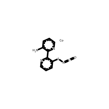 Nc1cccnc1-c1ncccc1SN=C=O.[Co]